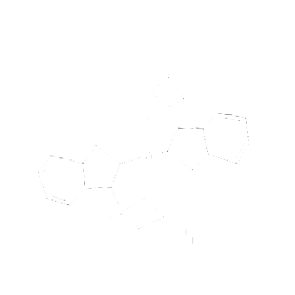 C[Si]1(C2[CH]([Zr+2][CH]3CC4C=CC=CC4C3[Si]3(C)CCC3)CC3C=CC=CC32)CCC1.[Cl-].[Cl-]